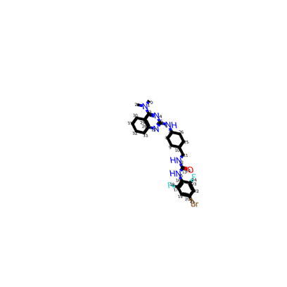 CN(C)c1nc(NC2CCC(CNC(=O)Nc3c(F)cc(Br)cc3F)CC2)nc2c1CCCC2